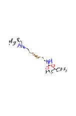 CCNCCSSCCNC(=O)OC(C)C